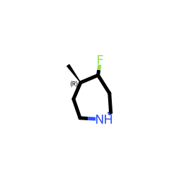 C[C@@H]1CCNCCC1F